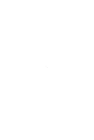 CC(C)(C)c1ccc2c(n1)S(=O)(=O)CC2